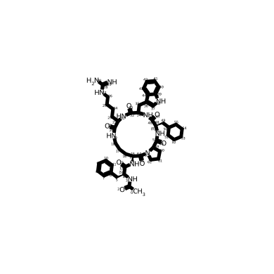 CC(=O)N[C@@H](Cc1ccccc1)C(=O)N[C@H]1CCCNC(=O)C(CCCCNC(=N)N)NC(=O)C(Cc2c[nH]c3ccccc23)NC(=O)[C@@H](CC2CCCCC2)NC(=O)C2CCCN2C1=O